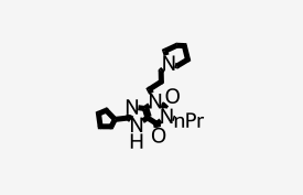 CCCn1c(=O)c2[nH]c(C3CCCC3)nc2n(CCCN2CCCCC2)c1=O